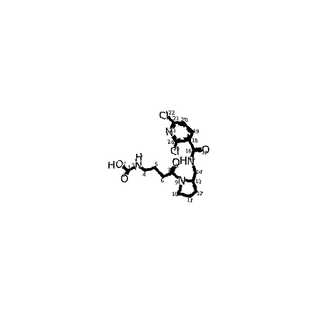 O=C(O)NCCCC(=O)N1CCCC1CNC(=O)c1ccc(Cl)nc1Cl